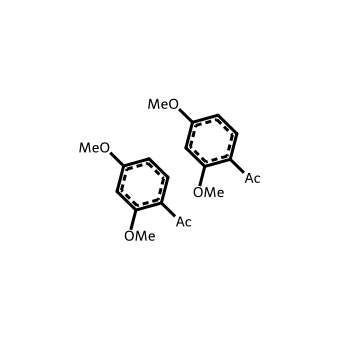 COc1ccc(C(C)=O)c(OC)c1.COc1ccc(C(C)=O)c(OC)c1